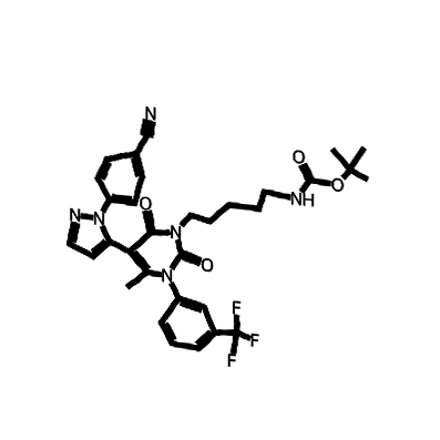 Cc1c(-c2ccnn2-c2ccc(C#N)cc2)c(=O)n(CCCCCNC(=O)OC(C)(C)C)c(=O)n1-c1cccc(C(F)(F)F)c1